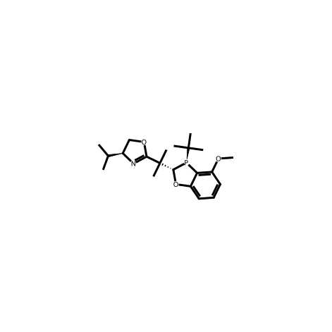 COc1cccc2c1[P@](C(C)(C)C)[C@@H](C(C)(C)C1=N[C@@H](C(C)C)CO1)O2